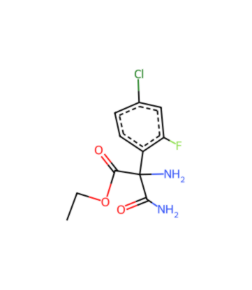 CCOC(=O)C(N)(C(N)=O)c1ccc(Cl)cc1F